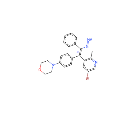 Cc1ncc(Br)cc1/C(=C(\N=N)c1ccccc1)c1ccc(N2CCOCC2)cc1